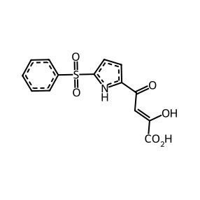 O=C(O)C(O)=CC(=O)c1ccc(S(=O)(=O)c2ccccc2)[nH]1